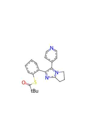 CC(C)(C)C(=O)Sc1ccccc1-c1nc2n(c1-c1ccncc1)CCC2